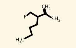 C=C([SiH3])C(CF)CCCC